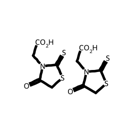 O=C(O)CN1C(=O)CSC1=S.O=C(O)CN1C(=O)CSC1=S